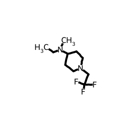 CCN(C)C1CCN(CC(F)(F)F)CC1